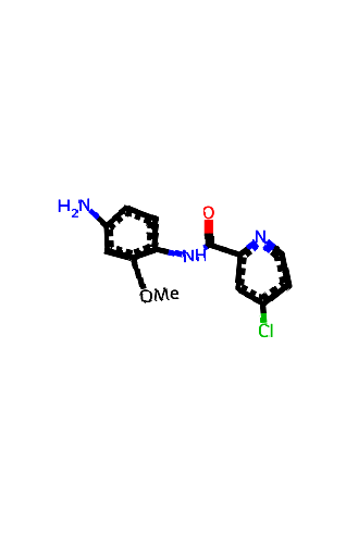 COc1cc(N)ccc1NC(=O)c1cc(Cl)ccn1